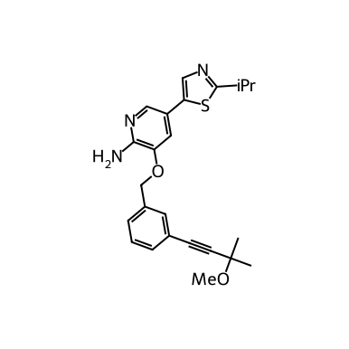 COC(C)(C)C#Cc1cccc(COc2cc(-c3cnc(C(C)C)s3)cnc2N)c1